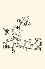 COC(c1ccc(Nc2nn(C3(CC#N)CCN(C(=O)OC(C)(C)C)CC3F)c3cc[nH]c(=O)c23)cc1)C(F)(F)F